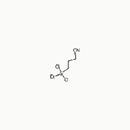 CC[Si](Cl)(Cl)CCCC#N